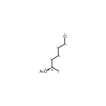 CC(=O)O[C@H](C)CCCCCl